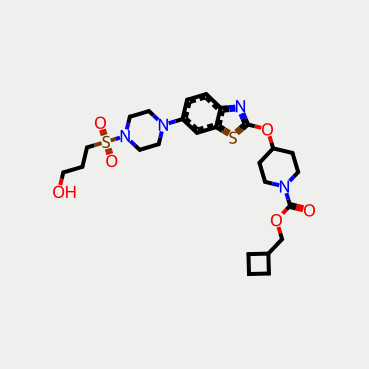 O=C(OCC1CCC1)N1CCC(Oc2nc3ccc(N4CCN(S(=O)(=O)CCCO)CC4)cc3s2)CC1